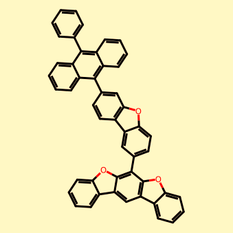 c1ccc(-c2c3ccccc3c(-c3ccc4c(c3)oc3ccc(-c5c6oc7ccccc7c6cc6c5oc5ccccc56)cc34)c3ccccc23)cc1